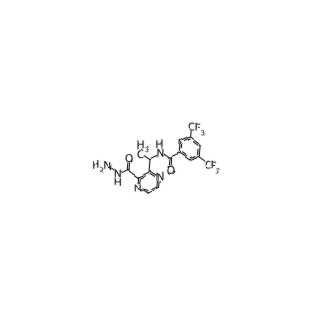 CC(NC(=O)c1cc(C(F)(F)F)cc(C(F)(F)F)c1)c1nccnc1C(=O)NN